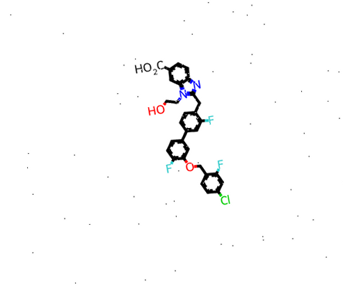 O=C(O)c1ccc2nc(Cc3ccc(-c4ccc(F)c(OCc5ccc(Cl)cc5F)c4)cc3F)n(CCO)c2c1